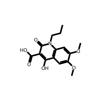 CCCn1c(=O)c(C(=O)O)c(O)c2cc(OC)c(OC)cc21